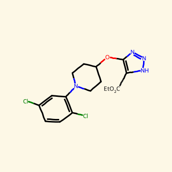 CCOC(=O)c1[nH]nnc1OC1CCN(c2cc(Cl)ccc2Cl)CC1